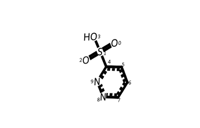 O=S(=O)(O)c1cccnn1